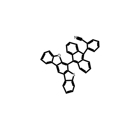 N#Cc1ccccc1-c1c2ccccc2c(-c2c3oc4ccccc4c3cc3c2sc2ccccc23)c2ccccc12